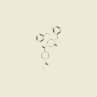 CC(C)(C)OC(=O)N1CCC(C(=O)N2CC(=O)N(Cc3cccc(C(F)(F)F)c3)[C@@H](CCc3ccccc3)C2)CC1